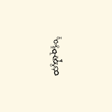 C[C@@H]1c2ccccc2CCN1C(=O)c1cn2cc(-c3ccc(NC(=O)N4CC[C@@H](O)C4)cc3F)nc2c(C2CC2)n1